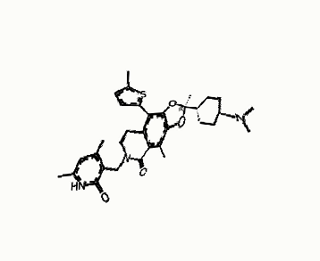 Cc1cc(C)c(CN2CCc3c(c(C)c4c(c3-c3ccc(C)s3)O[C@@](C)([C@H]3CC[C@H](N(C)C)CC3)O4)C2=O)c(=O)[nH]1